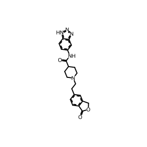 O=C1OCc2cc(CCN3CCC(C(=O)Nc4ccc5[nH]nnc5c4)CC3)ccc21